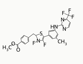 COC(=O)c1ccc(CC2SC(c3cc(C)cc(Nc4nccc(C(F)(F)F)n4)c3)=C(F)N2F)cc1